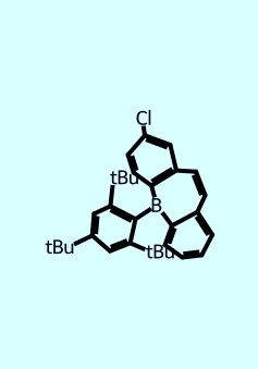 CC(C)(C)c1cc(C(C)(C)C)c(B2c3ccccc3C=Cc3cc(Cl)ccc32)c(C(C)(C)C)c1